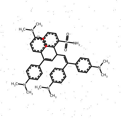 CN(C)c1ccc(C(=CC(C=C(c2ccc(N(C)C)cc2)c2ccc(N(C)C)cc2)c2cc(Cl)ccc2S(N)(=O)=O)c2ccc(N(C)C)cc2)cc1